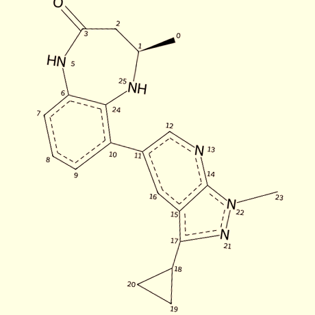 C[C@@H]1CC(=O)Nc2cccc(-c3cnc4c(c3)c(C3CC3)nn4C)c2N1